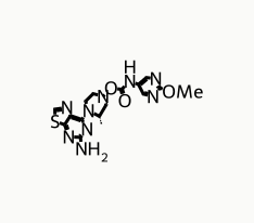 COc1ncc(NC(=O)ON2CCN(c3nc(N)nc4scnc34)[C@@H](C)C2)cn1